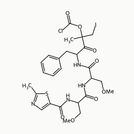 COCC(NC(=O)c1cnc(C)s1)C(=O)NC(COC)C(=O)NC(Cc1ccccc1)C(=O)C(C)(CI)OC(=O)Cl